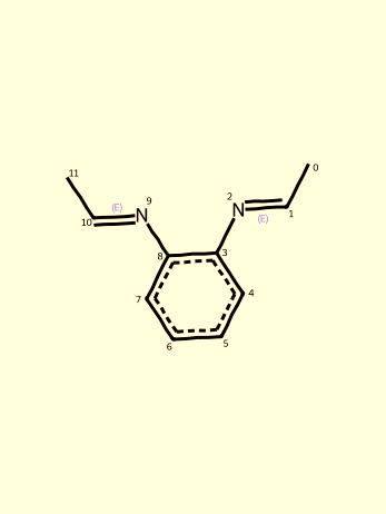 C/C=N/c1ccccc1/N=C/C